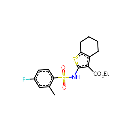 CCOC(=O)c1c(NS(=O)(=O)c2ccc(F)cc2C)sc2c1CCCC2